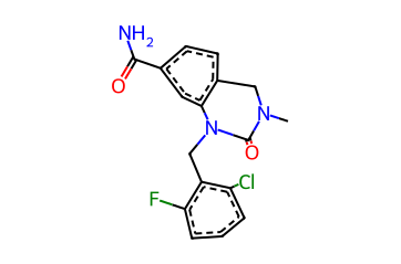 CN1Cc2ccc(C(N)=O)cc2N(Cc2c(F)cccc2Cl)C1=O